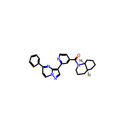 O=C(c1ccnc(-c2cnn3ccc(-c4ccccc4)nc23)c1)N1CCC[C@@H]2CCCC[C@@H]21